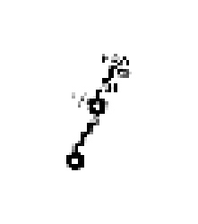 O=P(O)(O)CCCNCc1ccc(SCCCCCc2ccccc2)cc1C(F)(F)F